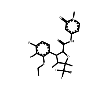 CCOc1c(C2C(C(=O)Nc3ccn(C)c(=O)c3)OC(C)(C(F)(F)F)C2C)ccc(F)c1F